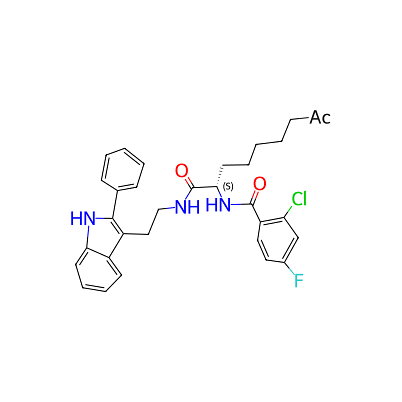 CC(=O)CCCCC[C@H](NC(=O)c1ccc(F)cc1Cl)C(=O)NCCc1c(-c2ccccc2)[nH]c2ccccc12